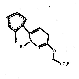 CCOC(=O)COC1=NN(CC)C(c2ncccc2F)=CC1